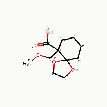 COCC1(C(=O)O)CCCCC12OCCO2